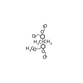 COCCc1cc(C(C)(C)c2ccc(OCC3CO3)c(CC3CO3)c2)ccc1OCC1CO1